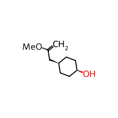 C=C(C[C@H]1CC[C@@H](O)CC1)OC